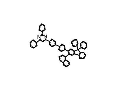 c1ccc(-c2cc(-c3ccc(-c4ccc(-c5cc6c(cc5-c5cccc7ccccc57)-c5ccccc5C6(c5ccccc5)c5ccccc5)cc4)cc3)nc(-c3ccccc3)n2)cc1